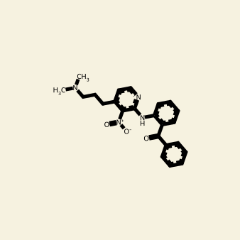 CN(C)CCCc1ccnc(Nc2ccccc2C(=O)c2ccccc2)c1[N+](=O)[O-]